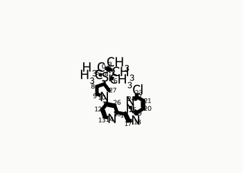 CC(C)(C)[Si](C)(C)[C@@H]1CCN(c2ccnc(-c3cnc4ccc(Cl)nn34)c2)C1